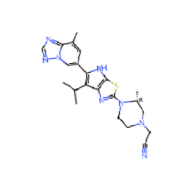 Cc1cc(-c2[nH]c3sc(N4CCN(CC#N)C[C@H]4C)nc3c2C(C)C)cn2ncnc12